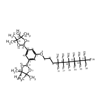 CC1(C)OB(c2cc(OCCCC(F)(F)C(F)(F)C(F)(F)C(F)(F)C(F)(F)C(F)(F)F)cc(B3OC(C)(C)C(C)(C)O3)c2)OC1(C)C